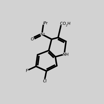 CC(C)[N+](=O)C1C(C(=O)O)=CNc2cc(Cl)c(F)cc21